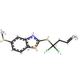 C=CCC(F)(F)Sc1nc2cc(SC(F)(F)F)ccc2s1